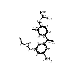 Bc1cc(COCC)cc(C(=C)c2ccc(OC(F)F)c(C)c2)c1